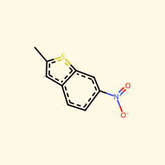 Cc1[c]c2ccc([N+](=O)[O-])cc2s1